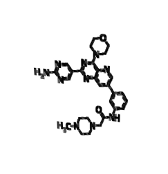 CN1CCN(CC(=O)Nc2cccc(-c3cnc4c(N5CCOCC5)nc(-c5cnc(N)nc5)nc4c3)c2)CC1